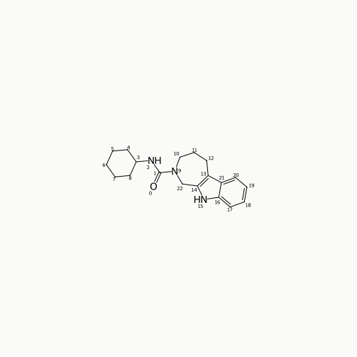 O=C(NC1CCCCC1)N1CCCc2c([nH]c3ccccc23)C1